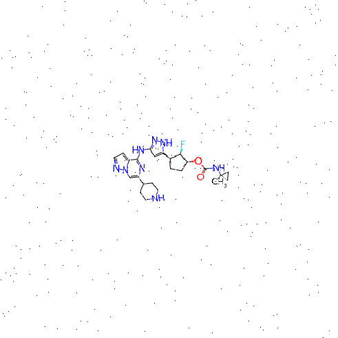 CC1(NC(=O)O[C@H]2CC[C@@H](c3cc(Nc4nc(C5CCNCC5)cn5nccc45)n[nH]3)[C@H]2F)CC1